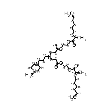 C=CCCCCSC(C)C(=O)OCCOC(=O)CCN(CCCN1CCN(C)CC1)CCC(=O)OCCOC(=O)C(C)SCCCCC=C